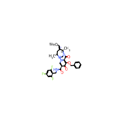 CO/C=C1\C[C@@H](C)N2CN(C(=O)c3c(OCc4ccccc4)c(=O)c(C(=O)NCc4c(F)cc(F)cc4F)cn32)[C@H]1C